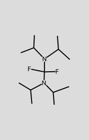 CC(C)N(C(C)C)C(F)(F)N(C(C)C)C(C)C